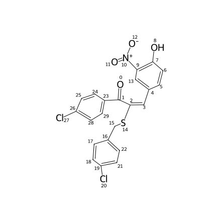 O=C(/C(=C\c1ccc(O)c([N+](=O)[O-])c1)SCc1ccc(Cl)cc1)c1ccc(Cl)cc1